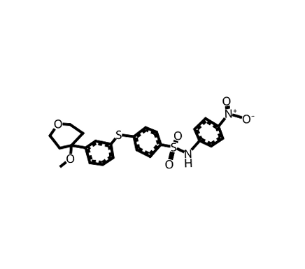 COC1(c2cccc(Sc3ccc(S(=O)(=O)Nc4ccc([N+](=O)[O-])cc4)cc3)c2)CCOCC1